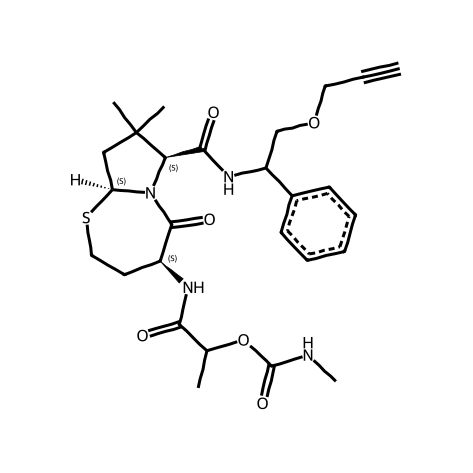 C#CCOCC(NC(=O)[C@H]1N2C(=O)[C@@H](NC(=O)C(C)OC(=O)NC)CCS[C@H]2CC1(C)C)c1ccccc1